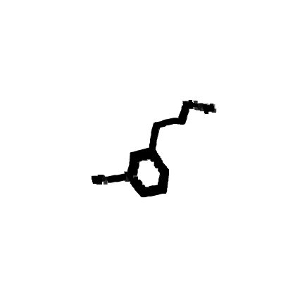 CCCCCCCCCc1ccc[n+](CCC)c1